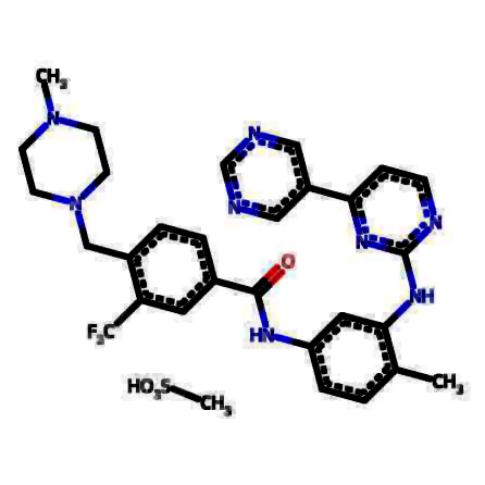 CS(=O)(=O)O.Cc1ccc(NC(=O)c2ccc(CN3CCN(C)CC3)c(C(F)(F)F)c2)cc1Nc1nccc(-c2cncnc2)n1